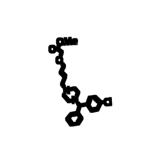 COC(=O)COCC=CCN1CCN(C(c2ccccc2)c2ccc(Cl)cc2)CC1